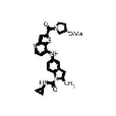 CO[C@H]1CCN(C(=O)c2cc3nccc(Nc4ccc5c(c4)CC(C)N5C(=O)NC4CC4)c3s2)C1